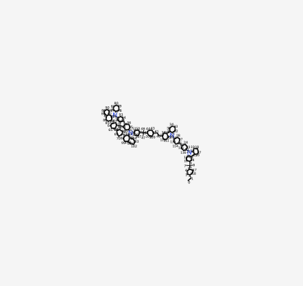 C=Cc1ccc(C(C)(C)c2ccc3c(c2)c2ccccc2n3-c2ccc(-c3ccc(-n4c5ccccc5c5cc(/C=C/c6ccc(C(C)(C)c7ccc(N(c8ccc9c(c8)C(c8ccccc8)(c8ccccc8)c8cc(N(c%10ccccc%10)c%10cccc%11ccccc%10%11)ccc8-9)c8cccc9ccccc89)cc7)cc6)ccc54)cc3)cc2)cc1